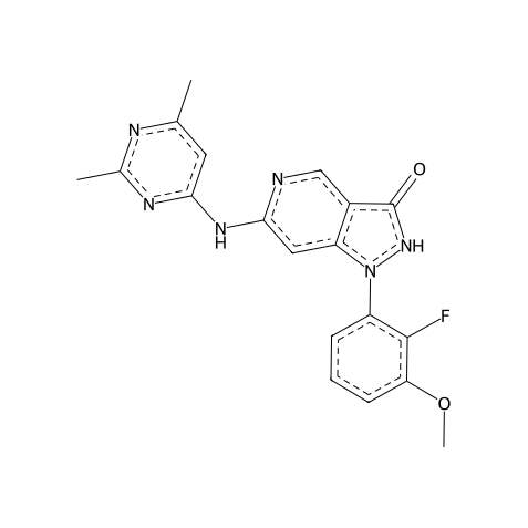 COc1cccc(-n2[nH]c(=O)c3cnc(Nc4cc(C)nc(C)n4)cc32)c1F